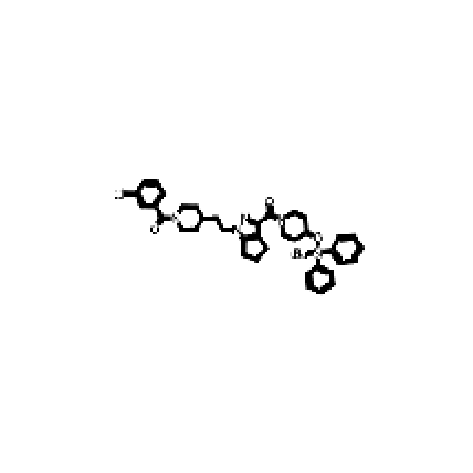 CC(C)(C)[Si](OC1CCN(C(=O)c2nn(CCC3CCN(C(=O)c4cccc(Cl)c4)CC3)c3c2CCC3)CC1)(c1ccccc1)c1ccccc1